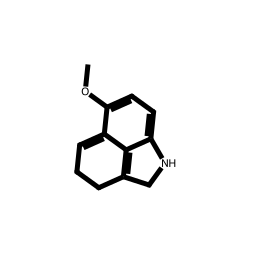 COc1ccc2c3c1=CCCC=3CN2